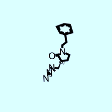 [N-]=[N+]=NC[C@@H]1CCN(CCc2ccccc2)C1=O